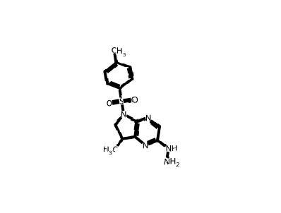 Cc1ccc(S(=O)(=O)N2CC(C)c3nc(NN)cnc32)cc1